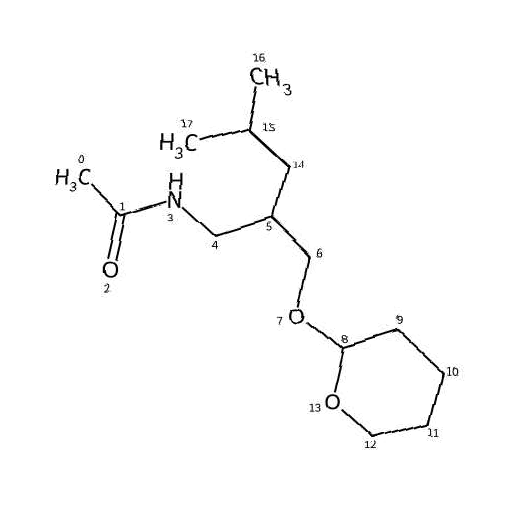 CC(=O)NCC(COC1CCCCO1)CC(C)C